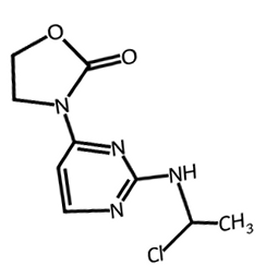 CC(Cl)Nc1nccc(N2CCOC2=O)n1